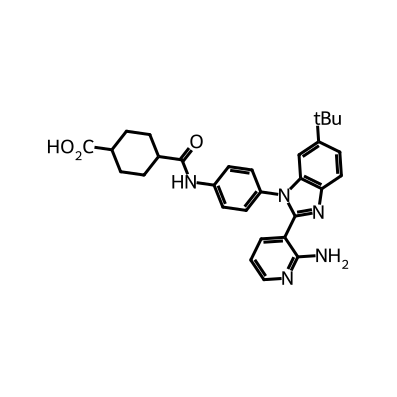 CC(C)(C)c1ccc2nc(-c3cccnc3N)n(-c3ccc(NC(=O)C4CCC(C(=O)O)CC4)cc3)c2c1